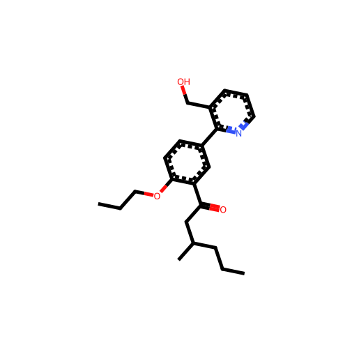 CCCOc1ccc(-c2ncccc2CO)cc1C(=O)CC(C)CCC